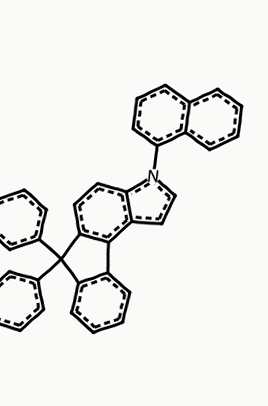 c1ccc(C2(c3ccccc3)c3ccccc3-c3c2ccc2c3ccn2-c2cccc3ccccc23)cc1